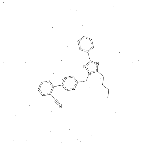 CCCCc1nc(-c2ccccc2)nn1Cc1ccc(-c2ccccc2C#N)cc1